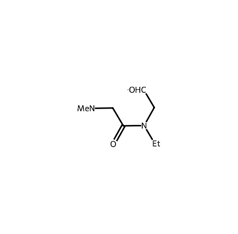 CCN(C[C]=O)C(=O)CNC